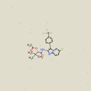 CC(=O)O[C@H](C(=O)Nc1nc2ccc(F)cn2c1-c1ccc(C(F)(F)F)cc1)C(C)(C)C